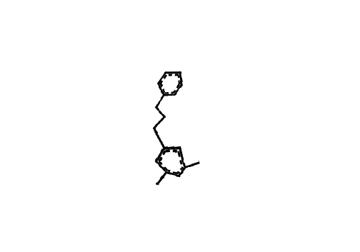 Cc1cc(C)cc(CCCc2ccccc2)c1